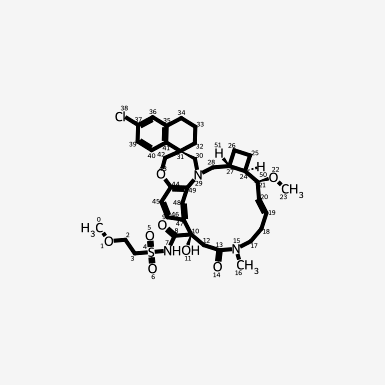 COCCS(=O)(=O)NC(=O)[C@@]1(O)CC(=O)N(C)CC/C=C/[C@H](OC)[C@@H]2CC[C@H]2CN2C[C@@]3(CCCc4cc(Cl)ccc43)COc3ccc1cc32